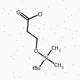 CC(C)(C)[Si](C)(C)OCCC(=O)Cl